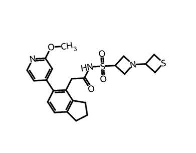 COc1cc(-c2ccc3c(c2CC(=O)NS(=O)(=O)C2CN(C4CSC4)C2)CCC3)ccn1